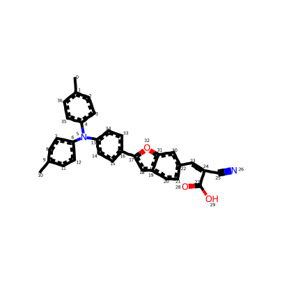 Cc1ccc(N(c2ccc(C)cc2)c2ccc(-c3cc4ccc(C=C(C#N)C(=O)O)cc4o3)cc2)cc1